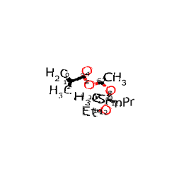 C=C(C)C(=O)OC(C)O[Si](C)(CCC)OCC